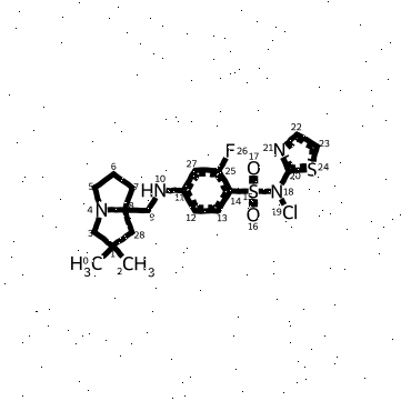 CC1(C)CN2CCCC2(CNc2ccc(S(=O)(=O)N(Cl)c3nccs3)c(F)c2)C1